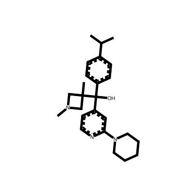 CC(C)c1ccc(C(O)(c2ccnc(N3CCCCC3)c2)C2(C)CN(C)C2)cc1